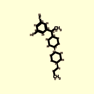 CCC[C@H]1CC[C@H](C2CCC(C(C)c3cc(F)cc(F)c3)CC2)CC1